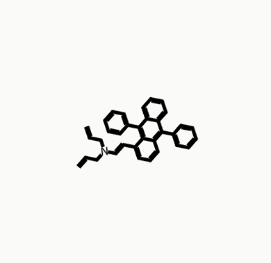 C=CCN(C=Cc1cccc2c(-c3ccccc3)c3ccccc3c(-c3ccccc3)c12)CC=C